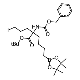 CC(C)(C)OC(=O)C(CCCI)(CCCCB1OC(C)(C)C(C)(C)O1)NC(=O)OCc1ccccc1